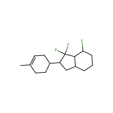 CC1=CCC(C2CC3CCCC(F)C3C2(F)F)CC1